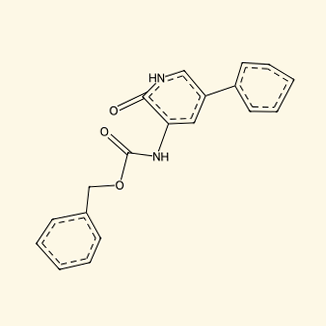 O=C(Nc1cc(-c2ccccc2)c[nH]c1=O)OCc1ccccc1